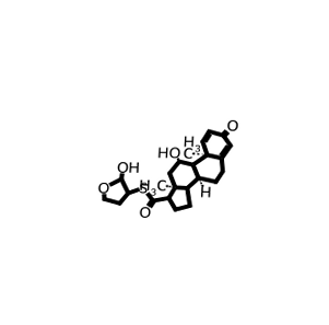 C[C@]12C[C@H](O)C3[C@@H](CCC4=CC(=O)C=C[C@@]43C)C1CCC2C(=O)SC1CCOC1O